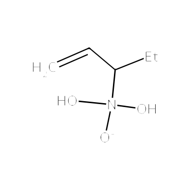 C=CC(CC)[N+]([O-])(O)O